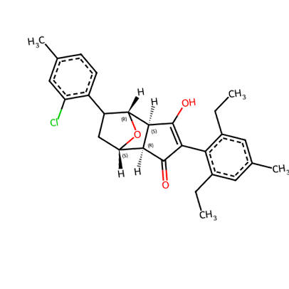 CCc1cc(C)cc(CC)c1C1=C(O)[C@H]2[C@@H](C1=O)[C@@H]1CC(c3ccc(C)cc3Cl)[C@H]2O1